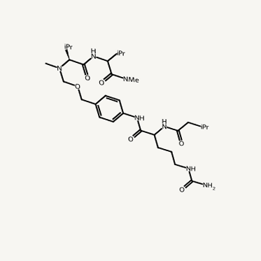 CNC(=O)C(NC(=O)[C@H](C(C)C)N(C)COCc1ccc(NC(=O)C(CCCNC(N)=O)NC(=O)CC(C)C)cc1)C(C)C